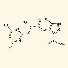 COC(=O)c1c[nH]c2cnc(C(C)Sc3nc(N)cc(Cl)n3)cc12